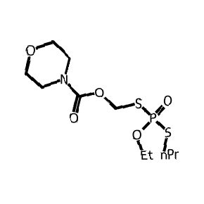 CCCSP(=O)(OCC)SCOC(=O)N1CCOCC1